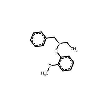 CCN(Cc1ccccc1)Oc1ccccc1OC